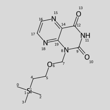 C[Si](C)(C)CCOCn1c(=O)[nH]c(=O)c2nccnc21